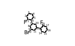 Fc1ccccc1-c1cc(Br)cc(-c2ccccc2F)c1